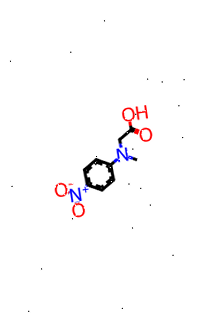 CN(CC(=O)O)c1ccc([N+](=O)[O-])cc1